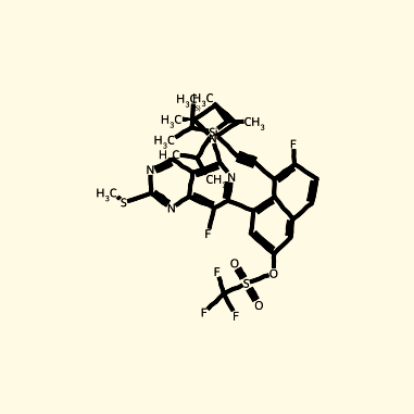 CSc1ncc2c(N3CC[C@@H]3C)nc(-c3cc(OS(=O)(=O)C(F)(F)F)cc4ccc(F)c(C#C[Si](C(C)C)(C(C)C)C(C)C)c34)c(F)c2n1